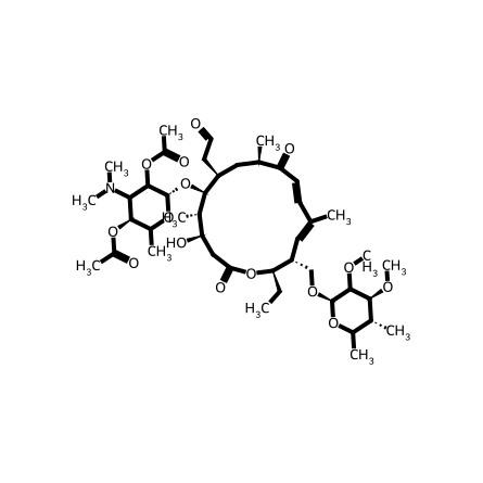 CC[C@H]1OC(=O)C[C@@H](O)[C@H](C)[C@@H](O[C@@H]2OC(C)[C@@H](OC(C)=O)C(N(C)C)C2OC(C)=O)[C@@H](CC=O)C[C@@H](C)C(=O)/C=C/C(C)=C/[C@@H]1CO[C@@H]1OC(C)[C@@H](C)[C@H](OC)C1OC